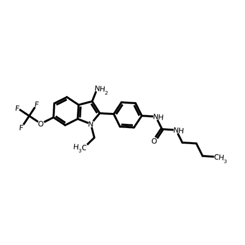 CCCCNC(=O)Nc1ccc(-c2c(N)c3ccc(OC(F)(F)F)cc3n2CC)cc1